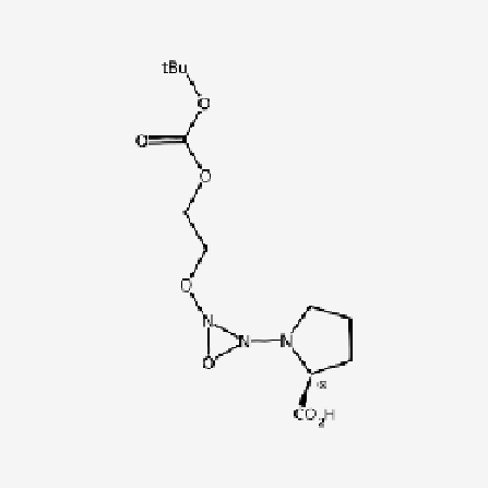 CC(C)(C)OC(=O)OCCOn1on1N1CCC[C@H]1C(=O)O